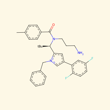 Cc1ccc(C(=O)N(CCCN)[C@@H](c2cc(-c3cc(F)ccc3F)cn2Cc2ccccc2)C(C)(C)C)cc1